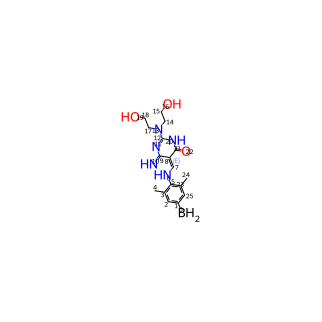 Bc1cc(C)c(N/C=C2\C(=N)N=C(N(CCO)CCO)NC2=O)c(C)c1